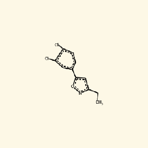 CCc1cc(-c2ccc(Cl)c(Cl)c2)on1